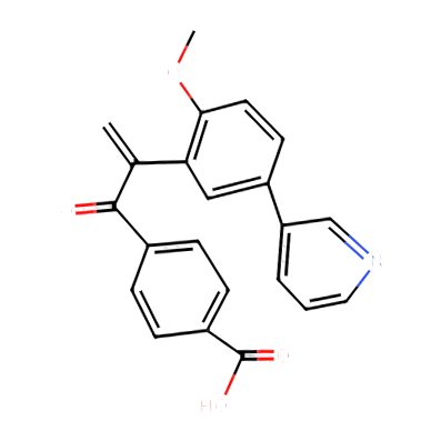 C=C(C(=O)c1ccc(C(=O)O)cc1)c1cc(-c2cccnc2)ccc1OC